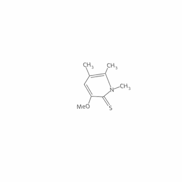 COc1cc(C)c(C)n(C)c1=S